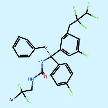 CC(=O)C(F)(F)CNC(=O)N[C@](Cc1ccccc1)(c1ccc(F)cc1)c1cc(F)cc(CC(F)(F)C(F)F)c1